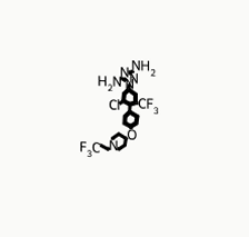 Nc1nc(N)n(-c2cc(Cl)c(-c3ccc(OC4CCN(CCC(F)(F)F)CC4)cc3)c(C(F)(F)F)c2)n1